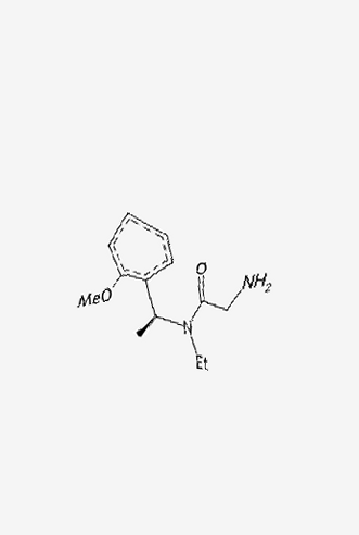 CCN(C(=O)CN)[C@@H](C)c1ccccc1OC